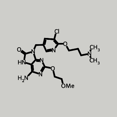 COCCOc1nc(N)c2[nH]c(=O)n(Cc3cnc(OCCCN(C)C)c(Cl)c3)c2n1